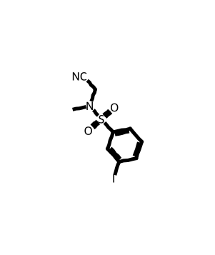 CN(CC#N)S(=O)(=O)c1cccc(I)c1